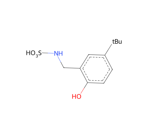 CC(C)(C)c1ccc(O)c(CNS(=O)(=O)O)c1